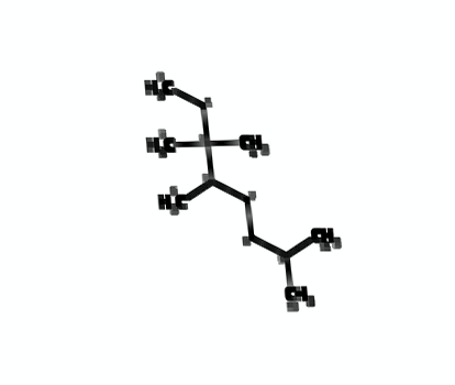 CCC(C)(C)C(C)CCC(C)C